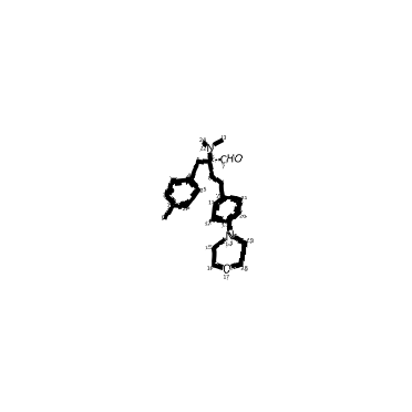 Cc1ccc(C[C@](C=O)(CCc2ccc(N3CCOCC3)cc2)N(C)C)cc1